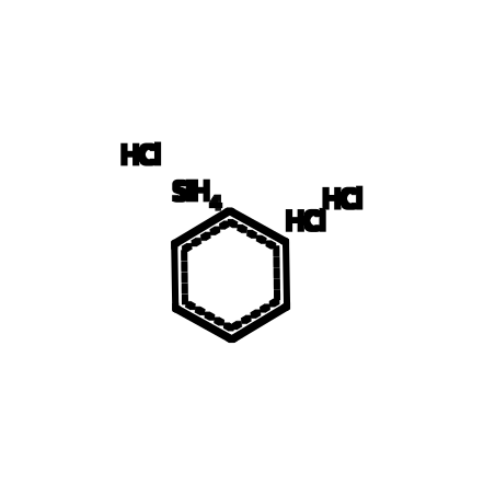 Cl.Cl.Cl.[SiH4].c1ccccc1